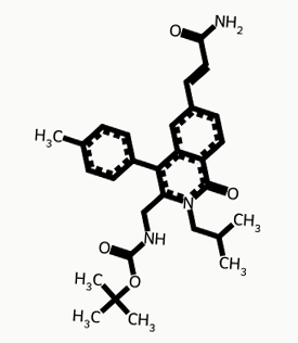 Cc1ccc(-c2c(CNC(=O)OC(C)(C)C)n(CC(C)C)c(=O)c3ccc(C=CC(N)=O)cc23)cc1